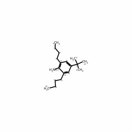 CCCCc1cc(C(C)(C)C)cc(CCCC)c1N